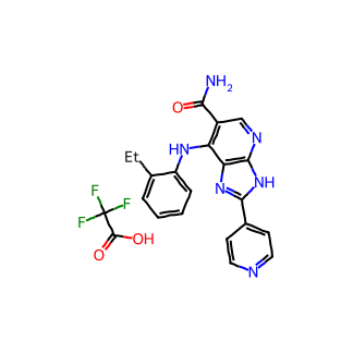 CCc1ccccc1Nc1c(C(N)=O)cnc2[nH]c(-c3ccncc3)nc12.O=C(O)C(F)(F)F